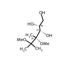 COC(C)(C)[C@](C)(OC)[C@@H](O)[C@H](O)CO